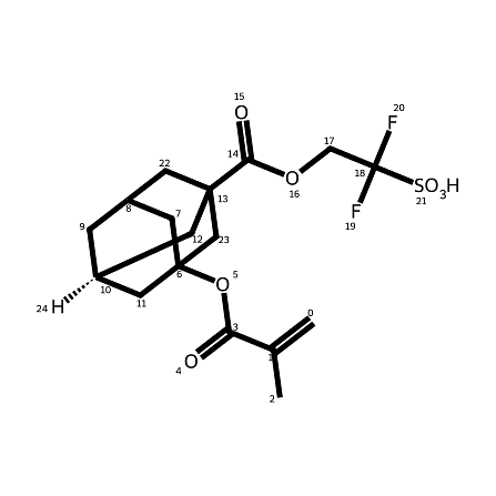 C=C(C)C(=O)OC12CC3C[C@H](C1)CC(C(=O)OCC(F)(F)S(=O)(=O)O)(C3)C2